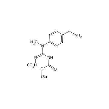 CN(C(=NC(=O)O)NC(=O)OC(C)(C)C)c1ccc(CN)cc1